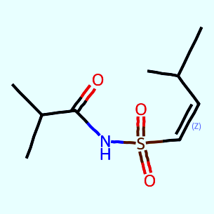 CC(C)/C=C\S(=O)(=O)NC(=O)C(C)C